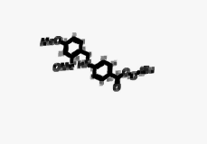 COc1ccc(CNc2ccc(C(=O)OOC(C)(C)C)cc2)c(OC)c1